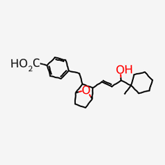 CC1(C(O)C=CC2C3CCC(O3)C2Cc2ccc(C(=O)O)cc2)CCCCC1